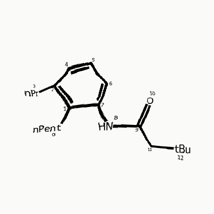 CCCCCc1c(CCC)cccc1NC(=O)CC(C)(C)C